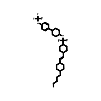 CCCCCC1CCC(/C=C/C2CCC(C(F)(F)OC3CCC(c4ccc(OC(F)(F)F)cc4)CC3)CC2)CC1